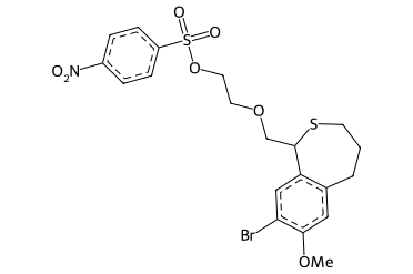 COc1cc2c(cc1Br)C(COCCOS(=O)(=O)c1ccc([N+](=O)[O-])cc1)SCCC2